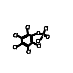 O=P(Cl)(Cl)Oc1c(Cl)c(Cl)c(Cl)c(Cl)c1Cl